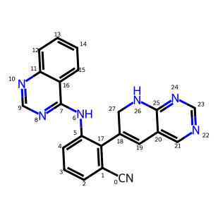 N#Cc1cccc(Nc2ncnc3ccccc23)c1C1=Cc2cncnc2NC1